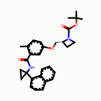 Cc1ccc(OC[C@H]2CCN2C(=O)OC(C)(C)C)cc1C(=O)NC1(c2cccc3ccccc23)CC1